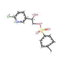 Cc1ccc(S(=O)(=O)OCC(O)c2ccc(Cl)nc2)cc1